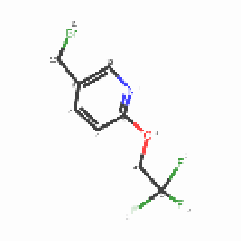 FC(F)(F)COc1ccc(CBr)cn1